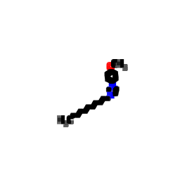 CCCCCCCCCCCN1C=CN(c2ccc(OC)cc2)C1